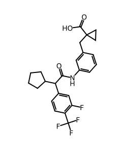 O=C(Nc1cccc(CC2(C(=O)O)CC2)c1)C(c1ccc(C(F)(F)F)c(F)c1)C1CCCC1